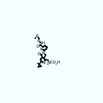 CN(C)/C=N/NC(=O)c1cccc(N2Cc3c(cc(C4(C)CC4)nc3CN(C)C(=O)O)C2=O)n1